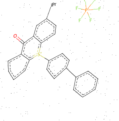 CC(C)c1ccc2c(c1)c(=O)c1ccccc1[s+]2-c1ccc(-c2ccccc2)cc1.F[P-](F)(F)(F)(F)F